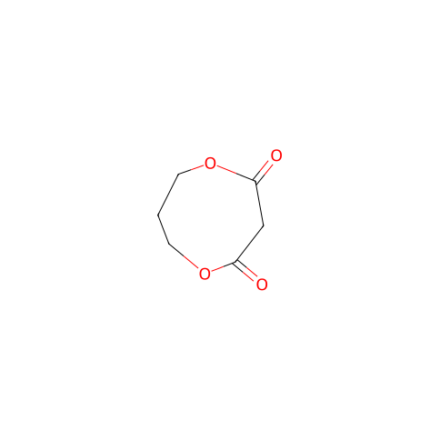 O=C1CC(=O)OCCCO1